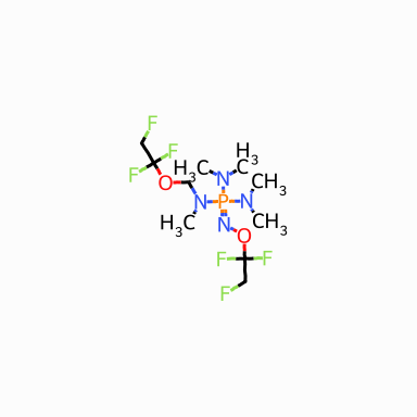 CN(C)P(=NOC(F)(F)CF)(N(C)C)N(C)COC(F)(F)CF